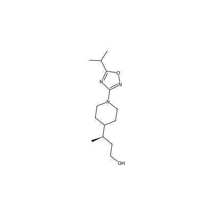 CC(C)c1nc(N2CCC([C@H](C)CCO)CC2)no1